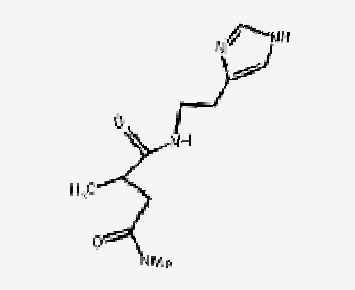 CNC(=O)CC(C)C(=O)NCCc1c[nH]cn1